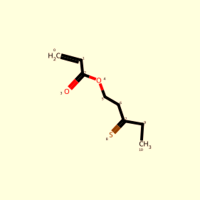 C=CC(=O)OCCC(=S)CC